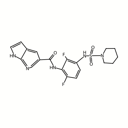 O=C(Nc1c(F)ccc(NS(=O)(=O)N2CCCCC2)c1F)c1cnc2[nH]ccc2c1